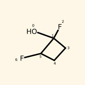 OC1(F)CCC1F